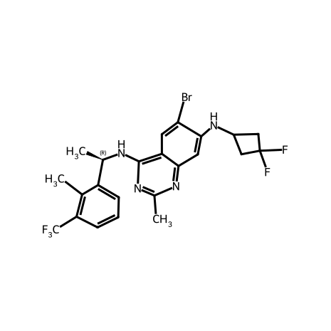 Cc1nc(N[C@H](C)c2cccc(C(F)(F)F)c2C)c2cc(Br)c(NC3CC(F)(F)C3)cc2n1